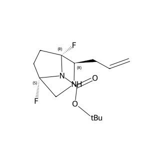 C=CC[C@H]1NC[C@@]2(F)CC[C@]1(F)N2C(=O)OC(C)(C)C